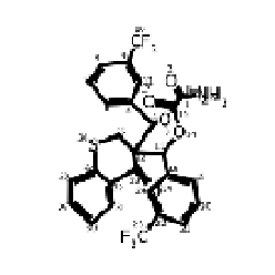 NC(=O)OC(c1cccc(C(F)(F)F)c1)C1(C(OC(N)=O)c2cccc(C(F)(F)F)c2)CSc2ccccc2C1=O